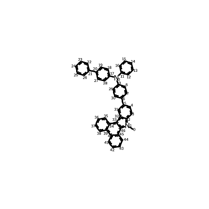 Cn1c2ccc(-c3ccc(N(c4ccccc4)c4ccc(-c5ccccc5)cc4)cc3)cc2c2c3ccccc3c3ccccc3c21